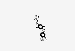 CCN(C)C=Nc1cc(C)c(Oc2ccc(Br)c(I)c2)cc1C